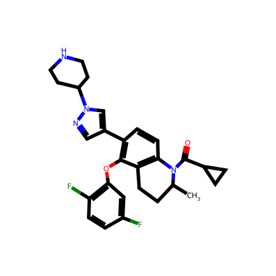 CC1CCc2c(ccc(-c3cnn(C4CCNCC4)c3)c2Oc2cc(F)ccc2F)N1C(=O)C1CC1